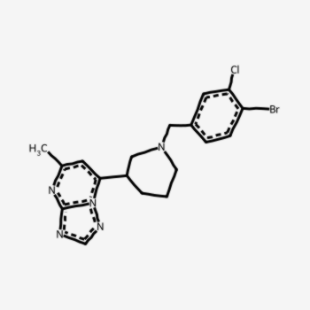 Cc1cc(C2CCCN(Cc3ccc(Br)c(Cl)c3)C2)n2ncnc2n1